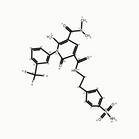 Cc1c(C(=O)N(C)C)cc(C(=O)NCCc2ccc(S(N)(=O)=O)cc2)c(=O)n1-c1cccc(C(F)(F)F)c1